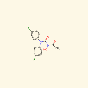 CC(=O)N(O)C(=O)N(c1ccc(F)cc1)c1ccc(F)cc1